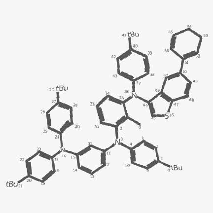 Cc1c(N(c2ccc(C(C)(C)C)cc2)c2cccc(N(c3ccc(C(C)(C)C)cc3)c3ccc(C(C)(C)C)cc3)c2)cccc1N(c1ccc(C(C)(C)C)cc1)c1csc2ccc(C3=CCCC=C3)cc12